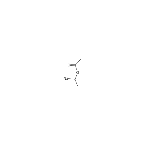 CC(=O)O[CH](C)[Na]